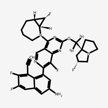 [2H]C([2H])(Oc1nc(N2CCCC[C@@H]3[C@H](F)[C@@H]32)c2cnc(-c3cc(N)cc4cc(F)c(F)c(C#C)c34)c(F)c2n1)[C@@]12CCCN1C[C@H](F)C2